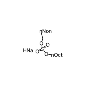 CCCCCCCCCCOS(=O)(=O)OCCCCCCCC.[NaH]